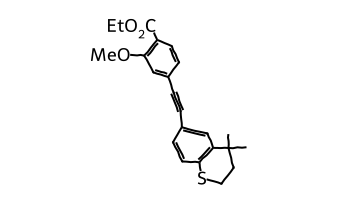 CCOC(=O)c1ccc(C#Cc2ccc3c(c2)C(C)(C)CCS3)cc1OC